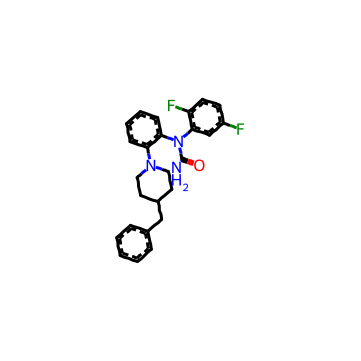 NC(=O)N(c1cc(F)ccc1F)c1ccccc1N1CCC(Cc2ccccc2)CC1